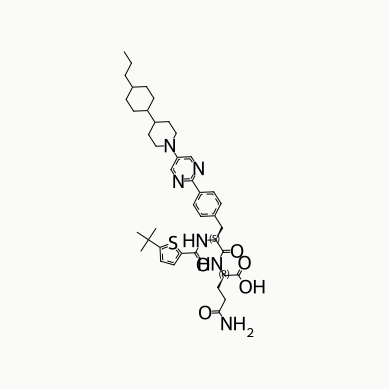 CCCC1CCC(C2CCN(c3cnc(-c4ccc(C[C@H](NC(=O)c5ccc(C(C)(C)C)s5)C(=O)N[C@H](CCC(N)=O)C(=O)O)cc4)nc3)CC2)CC1